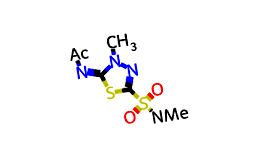 CNS(=O)(=O)c1nn(C)/c(=N\C(C)=O)s1